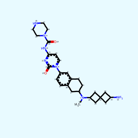 CN(C1CCc2cc(-n3ccc(NC(=O)N4CCNCC4)nc3=O)ccc2C1)C1CC2(CC(N)C2)C1